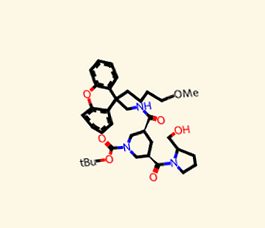 COCCCCC1(CNC(=O)[C@H]2C[C@@H](C(=O)N3CCCC3CO)CN(C(=O)OC(C)(C)C)C2)c2ccccc2Oc2ccccc21